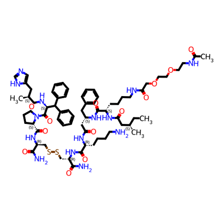 CC[C@H](C)CC(=O)N[C@@H](CCCCNC(=O)COCCOCCNC(C)=O)C(=O)N[C@H](CC(=O)N[C@H](CCCCN)C(=O)N[C@@H](CSSC[C@H](NC(=O)[C@@H]1CCCN1C(=O)[C@@H](NC(=O)[C@@H](C)Cc1cnc[nH]1)C(c1ccccc1)c1ccccc1)C(N)=O)C(N)=O)Cc1ccccc1